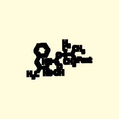 CCCCCC(C)C(C)(C)OC(=O)NC(BO)/C(C)=C\c1ccccc1